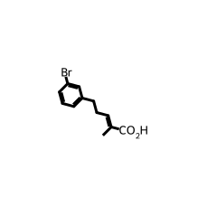 CC(=CCCc1cccc(Br)c1)C(=O)O